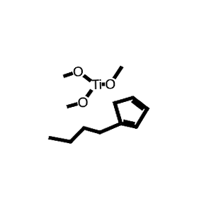 CCCCC1=CC=CC1.C[O][Ti]([O]C)[O]C